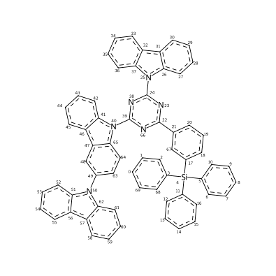 c1ccc([Si](c2ccccc2)(c2ccccc2)c2cccc(-c3nc(-n4c5ccccc5c5ccccc54)nc(-n4c5ccccc5c5cc(-n6c7ccccc7c7ccccc76)ccc54)n3)c2)cc1